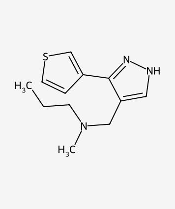 CCCN(C)Cc1c[nH]nc1-c1ccsc1